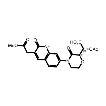 COC(=O)Cc1cc2ccc(N3CCO[C@H]([C@@H](OC(C)=O)C(=O)O)C3=O)cc2[nH]c1=O